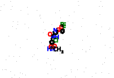 CNS(=O)(=O)c1ccc(CNC(=O)c2ccc(Oc3ccccc3OC(F)(F)F)nc2)c(Cl)c1